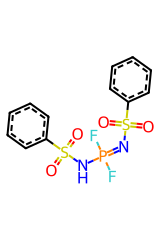 O=S(=O)(N=P(F)(F)NS(=O)(=O)c1ccccc1)c1ccccc1